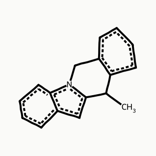 CC1c2ccccc2Cn2c1cc1ccccc12